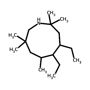 CCC1CC(C)(C)NCC(C)(C)CC(C)C1CC